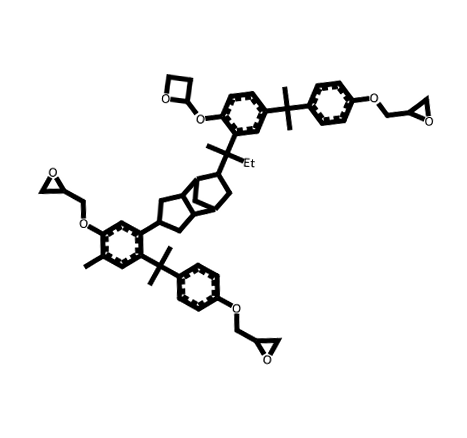 CCC(C)(c1cc(C(C)(C)c2ccc(OCC3CO3)cc2)ccc1OC1CCO1)C1CC2CC1C1CC(c3cc(OCC4CO4)c(C)cc3C(C)(C)c3ccc(OCC4CO4)cc3)CC21